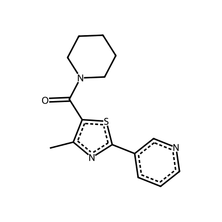 Cc1nc(-c2cccnc2)sc1C(=O)N1CCCCC1